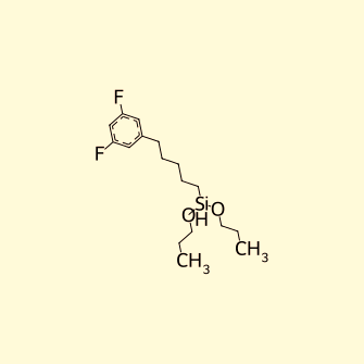 CCCO[SiH](CCCCCc1cc(F)cc(F)c1)OCCC